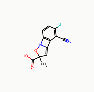 CC1(C(=O)O)C=C2c3c(ccc(F)c3C#N)N2O1